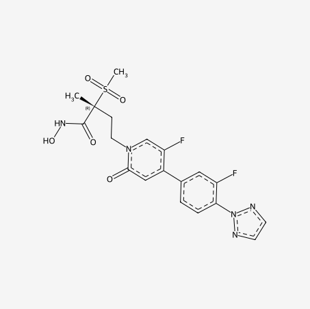 C[C@@](CCn1cc(F)c(-c2ccc(-n3nccn3)c(F)c2)cc1=O)(C(=O)NO)S(C)(=O)=O